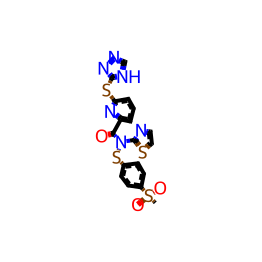 CS(=O)(=O)c1ccc(SN(C(=O)c2cccc(Sc3nnc[nH]3)n2)c2nccs2)cc1